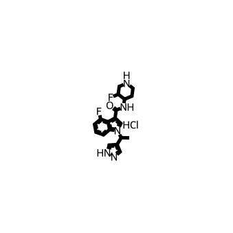 CC(c1cn[nH]c1)n1cc(C(=O)NC2CCNCC2F)c2c(F)cccc21.Cl